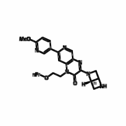 CCCOCCn1c(=O)c(N2CC3NC[C@@H]32)nc2cnc(-c3ccc(OC)nc3)cc21